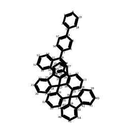 c1ccc(-c2ccc(-c3cc(-c4cccc5c4C4(c6ccccc6-c6ccccc64)c4ccccc4C54c5ccccc5-c5ccccc54)nc4ccccc34)cc2)cc1